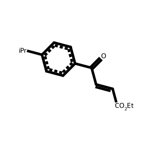 CCOC(=O)C=CC(=O)c1ccc(C(C)C)cc1